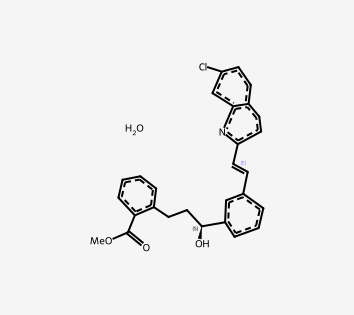 COC(=O)c1ccccc1CC[C@H](O)c1cccc(/C=C/c2ccc3ccc(Cl)cc3n2)c1.O